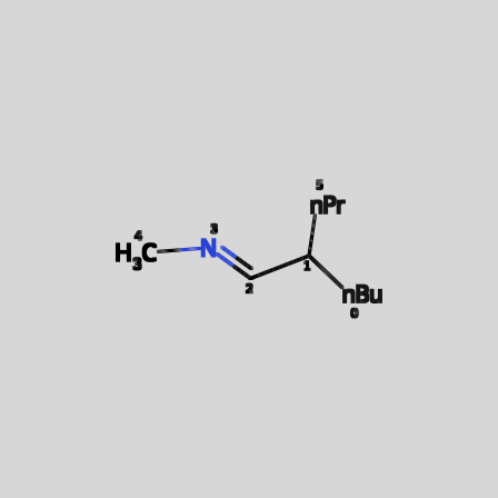 CCCCC(C=NC)CCC